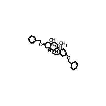 C[C@H]1C[C@]2(C)C[C@H](OCc3ccccc3)C[C@H]2[C@@H]2CCc3cc(OCc4ccccc4)ccc3[C@H]21